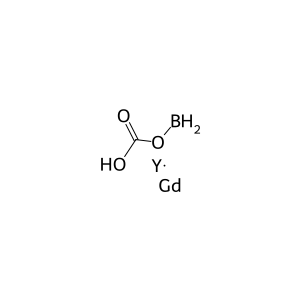 BOC(=O)O.[Gd].[Y]